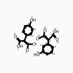 O=C(O)C(=C(Cl)Cl)c1ccc(O)cc1.O=C(O)C(=C(Cl)Cl)c1cccc(O)c1